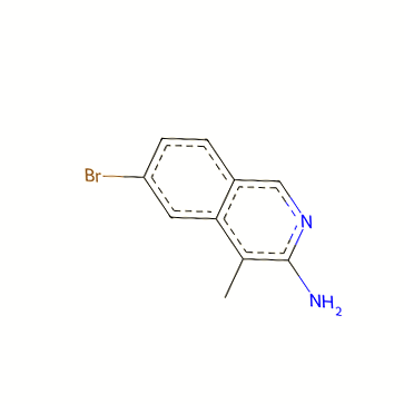 Cc1c(N)ncc2ccc(Br)cc12